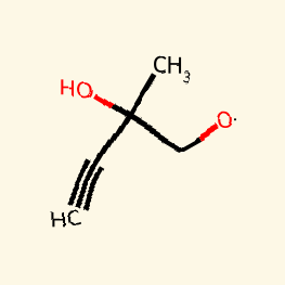 C#CC(C)(O)C[O]